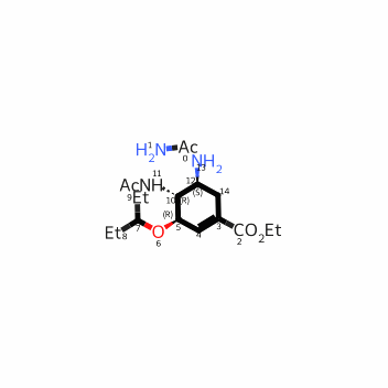 CC(N)=O.CCOC(=O)C1=C[C@@H](OC(CC)CC)[C@H](NC(C)=O)[C@@H](N)C1